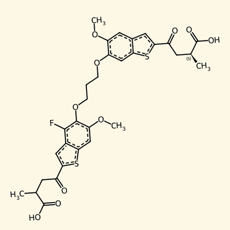 COc1cc2cc(C(=O)C[C@H](C)C(=O)O)sc2cc1OCCCOc1c(OC)cc2sc(C(=O)CC(C)C(=O)O)cc2c1F